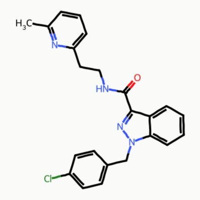 Cc1cccc(CCNC(=O)c2nn(Cc3ccc(Cl)cc3)c3ccccc23)n1